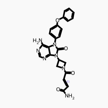 NC(=O)/C=C/C(=O)N1CC(n2c(=O)n(-c3ccc(Oc4ccccc4)cc3)c3c(N)ncnc32)C1